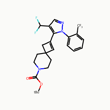 CC(C)(C)OC(=O)N1CCC2(C=C(c3c(C(F)F)cnn3-c3ccccc3C(F)(F)F)C2)CC1